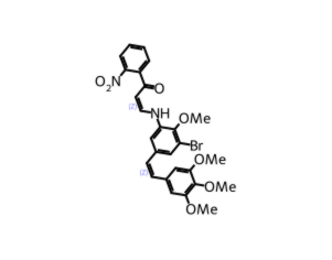 COc1cc(/C=C\c2cc(Br)c(OC)c(N/C=C\C(=O)c3ccccc3[N+](=O)[O-])c2)cc(OC)c1OC